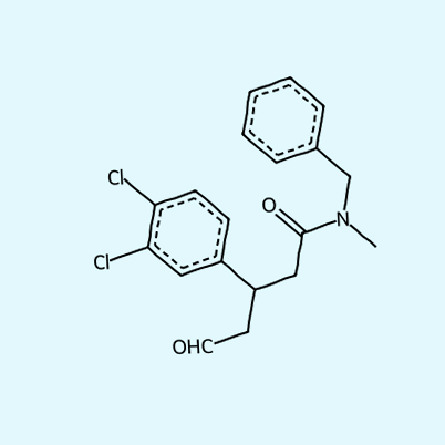 CN(Cc1ccccc1)C(=O)CC(CC=O)c1ccc(Cl)c(Cl)c1